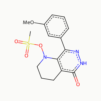 COc1cccc(-c2n[nH]c(=O)c3c2N(OS(C)(=O)=O)CCC3)c1